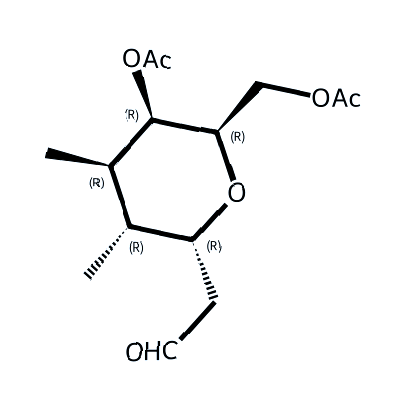 CC(=O)OC[C@H]1O[C@H](CC=O)[C@H](C)[C@@H](C)[C@H]1OC(C)=O